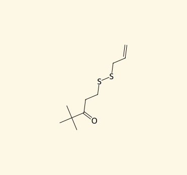 C=CCSSCCC(=O)C(C)(C)C